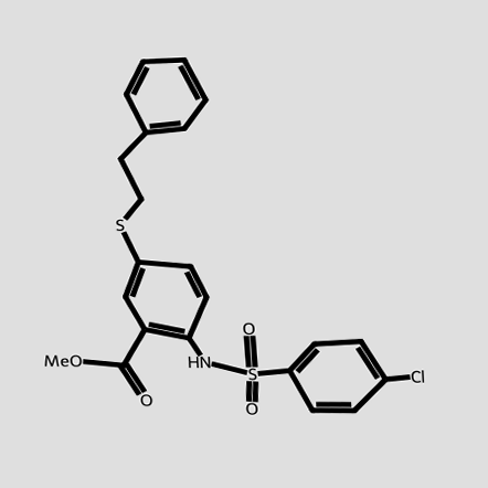 COC(=O)c1cc(SCCc2ccccc2)ccc1NS(=O)(=O)c1ccc(Cl)cc1